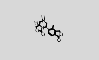 Cc1c([C@@H]2CNC[C@@H]3COC(=O)N32)ccc2c1COC2=O